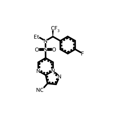 CCN([C@H](c1ccc(F)cc1)C(F)(F)F)S(=O)(=O)c1cnc2c(C#N)cnn2c1